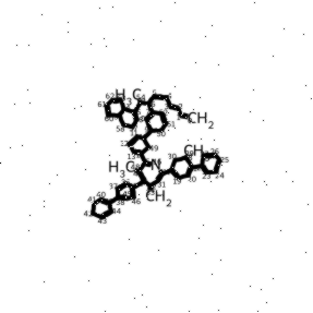 C=C/C=C/C=C\C(C1=CC(C2C=CC=C(C3=NC(C4=CC=C(c5ccccc5)C(C)C4)=CC(=C)C(c4ccc(C5=CCCC=C5)cc4)=C3C)C2)CC=C1)C(C)C1=CCCC2C=CC=CC12